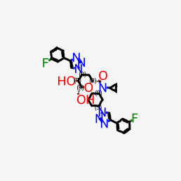 O=C([C@H]1C[C@@H](n2cc(-c3cccc(F)c3)nn2)[C@@H](O)[C@@H](CO)O1)N(C1CC1)[C@@H]1CCC[C@H](n2cc(-c3cccc(F)c3)nn2)C1